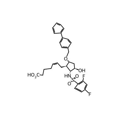 O=C(O)CCC/C=C\C[C@@H]1[C@@H](NS(=O)(=O)c2ccc(F)cc2F)[C@H](O)C[C@@H]1OCc1ccc(-c2ccccc2)cc1